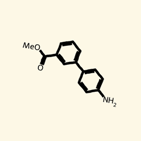 COC(=O)c1cccc(-c2ccc(N)cc2)c1